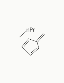 C=C1C=CC=C1.CCCC